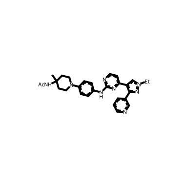 CCn1cc(-c2ccnc(Nc3ccc(N4CCC(C)(NC(C)=O)CC4)cc3)n2)c(-c2cccnc2)n1